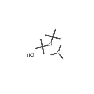 CC(C)(C)OC(C)(C)C.CN(C)C.Cl